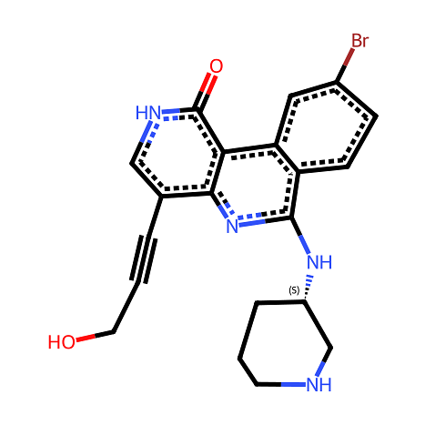 O=c1[nH]cc(C#CCO)c2nc(N[C@H]3CCCNC3)c3ccc(Br)cc3c12